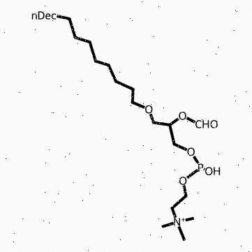 CCCCCCCCCCCCCCCCCCOCC(COP(O)OCC[N+](C)(C)C)OC=O